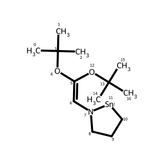 CC(C)(C)OC(=C[N]1CC[CH2][Sn]1)OC(C)(C)C